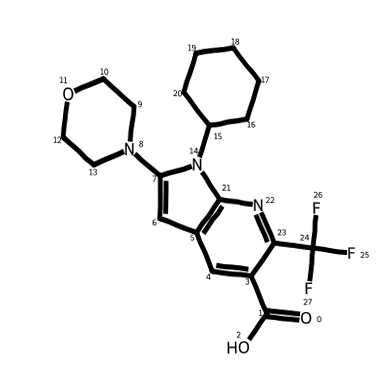 O=C(O)c1cc2cc(N3CCOCC3)n(C3CCCCC3)c2nc1C(F)(F)F